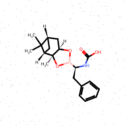 CC1(C)[C@@H]2C[C@H]3OB([C@H](Cc4ccccc4)NC(=O)O)O[C@@]3(C)[C@H]1C2